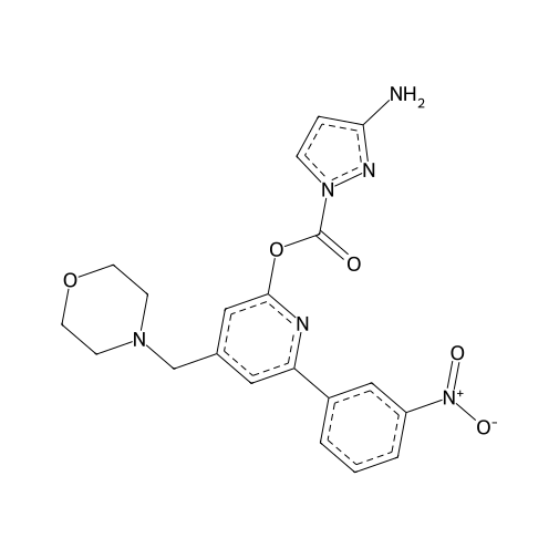 Nc1ccn(C(=O)Oc2cc(CN3CCOCC3)cc(-c3cccc([N+](=O)[O-])c3)n2)n1